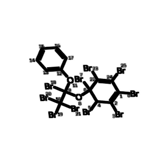 BrC1=C(Br)C(Br)C(Br)(OC(Br)(Oc2ccccc2)C(Br)(Br)Br)C(Br)=C1Br